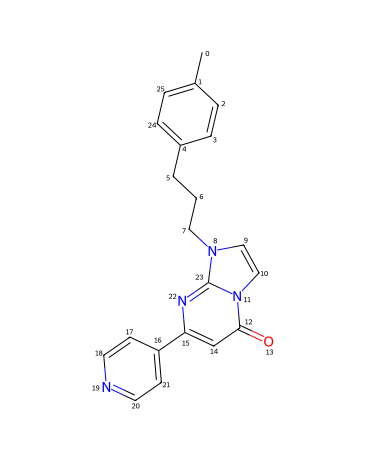 Cc1ccc(CCCn2ccn3c(=O)cc(-c4ccncc4)nc23)cc1